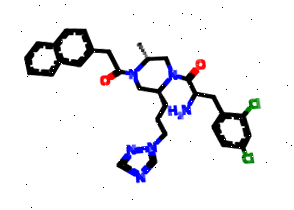 C[C@@H]1CN(C(=O)C(N)Cc2ccc(Cl)cc2Cl)[C@@H](CCCn2cncn2)CN1C(=O)Cc1ccc2ccccc2c1